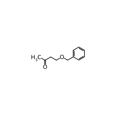 CC(=O)CCOCc1ccccc1